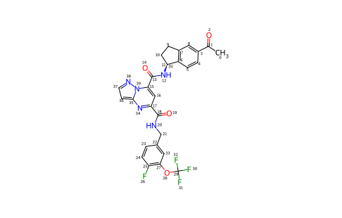 CC(=O)c1ccc2c(c1)CC[C@@H]2NC(=O)c1cc(C(=O)NCc2ccc(F)c(OC(F)(F)F)c2)nc2ccnn12